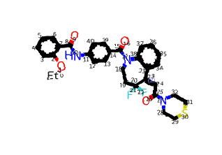 CCOc1ccccc1C(=O)Nc1ccc(C(=O)N2CCC(F)(F)/C(=C\C(=O)N3CCSCC3)c3ccccc32)cc1